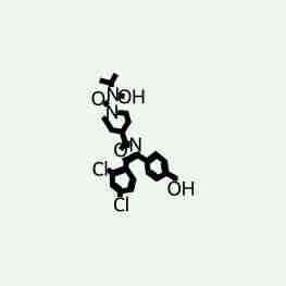 CC(C)N(O)C(=O)N1CCC(c2nc(-c3ccc(CO)cc3)c(-c3ccc(Cl)cc3Cl)o2)CC1